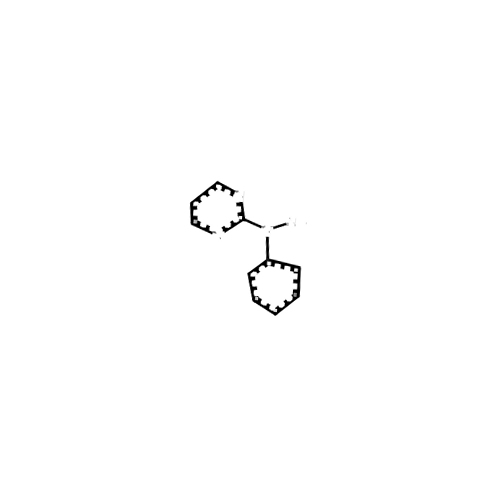 O=[N+]([O-])N(c1ccccc1)c1ncccn1